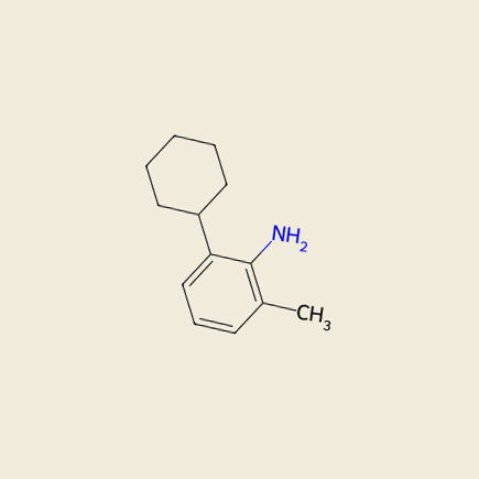 Cc1cccc(C2CCCCC2)c1N